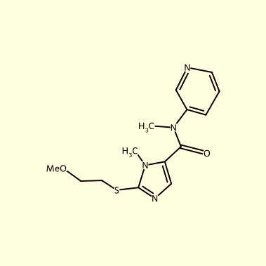 COCCSc1ncc(C(=O)N(C)c2cccnc2)n1C